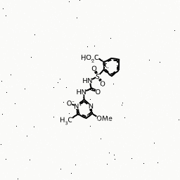 COc1cc(C)[n+]([O-])c(NC(=O)NS(=O)(=O)c2ccccc2C(=O)O)n1